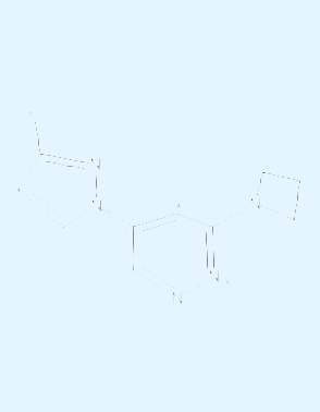 Cc1ccn(-c2cnnc(N3CCC3)c2)n1